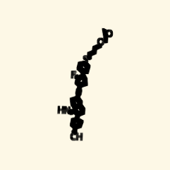 C#Cc1ccc(-c2ccc3cc(C#Cc4ccc(-c5ccc(SCCCCCOCC6CO6)cc5)c(F)c4)ccc3c2C=N)cc1